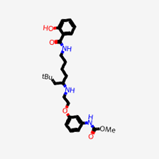 COC(=O)Nc1cccc(OCCNC(CCCCNC(=O)c2ccccc2O)CC(C)(C)C)c1